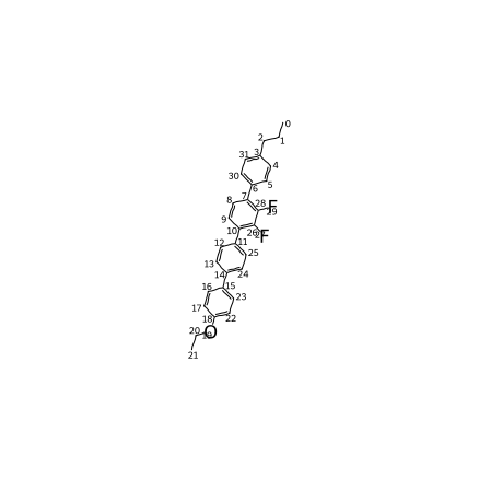 CCCc1ccc(-c2ccc(-c3ccc(-c4ccc(OCC)cc4)cc3)c(F)c2F)cc1